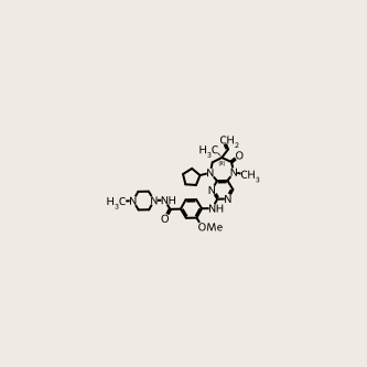 C=C[C@]1(C)CN(C2CCCC2)c2nc(Nc3ccc(C(=O)NN4CCN(C)CC4)cc3OC)ncc2N(C)C1=O